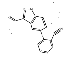 N#Cc1ccccc1-c1ccc2[nH]nc(C=O)c2c1